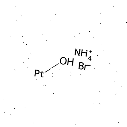 [Br-].[NH4+].[OH][Pt]